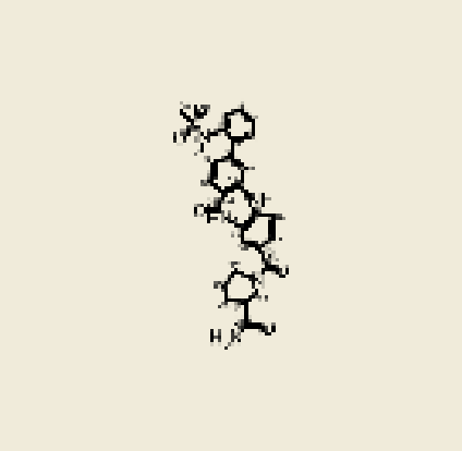 CN(c1ccccc1-c1ccc2c(c1)Nc1ccc(C(=O)N3CCCC(C(N)=O)C3)cc1NC2=O)S(C)(=O)=O